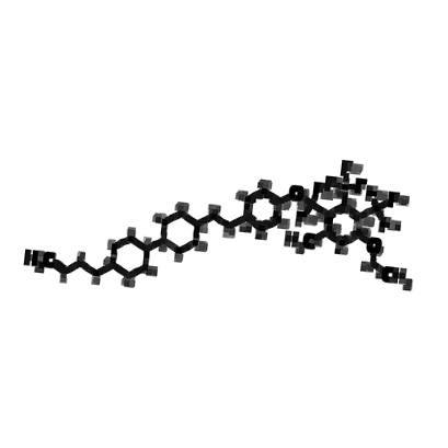 C=CCCC1CCC(C2CCC(CCc3ccc(OC(F)(F)c4c(C)cc(OCC)c(C(F)(F)F)c4C(F)(F)F)cc3)CC2)CC1